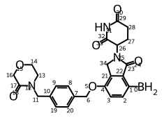 Bc1ccc(OCc2ccc(CN3CCOCC3=O)cc2)c2c1C(=O)N(C1CCC(=O)NC1=O)C2